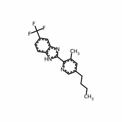 CCCCc1cnc(-c2nc3cc(C(F)(F)F)ccc3[nH]2)c(C)c1